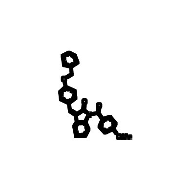 COc1ccc(C(=O)N2C(=O)C(=Cc3ccc(OCc4ccccc4)cc3)c3ccccc32)cc1